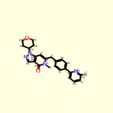 Cn1c(Cc2ccc(-c3cccc(F)n3)cc2)cc2c(cnn2C2CCOCC2)c1=O